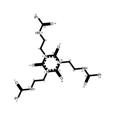 CC(C)C(=O)NCCn1c(=O)n(CCNC(=O)C(C)C)c(=O)n(CCNC(=O)C(C)C)c1=O